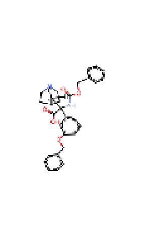 O=C(NC(C(=O)O)(c1cccc(OCc2ccccc2)c1)[C@H]1CN2CCC1CC2)OCc1ccccc1